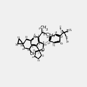 CC(C)c1nc2c(c3c1[C@H](c1ccc(C(F)(F)F)cc1)OC31CCCC1)C(O)CC1(CC1)C2